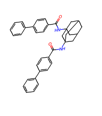 O=C(NC12CC3CC(C1)CC(NC(=O)c1ccc(-c4ccccc4)cc1)(C3)C2)c1ccc(-c2ccccc2)cc1